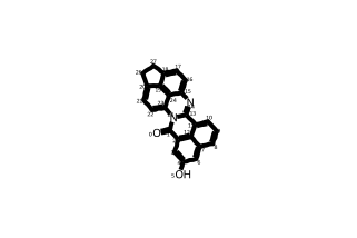 O=c1c2cc(O)cc3cccc(c32)c2nc3ccc4c5c(ccc(c35)n12)CC4